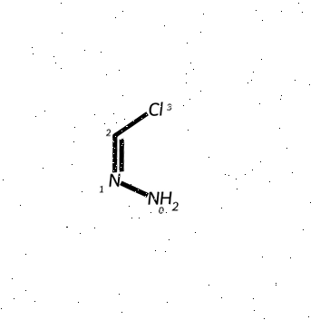 N/N=C\Cl